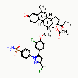 CC(=O)O[C@]1(C(C)=O)CC[C@H]2[C@@H]3C=C(C)C4=CC(=O)CC[C@]4(C)[C@H]3CC[C@@]21C.COc1ccc(-c2cc(C(F)F)nn2-c2ccc(S(N)(=O)=O)cc2)cc1F